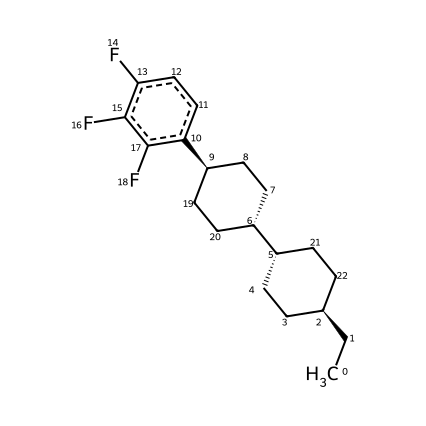 CC[C@H]1CC[C@H]([C@H]2CC[C@H](c3ccc(F)c(F)c3F)CC2)CC1